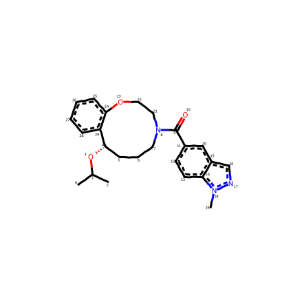 CC(C)O[C@H]1CCCN(C(=O)c2ccc3c(cnn3C)c2)CCOc2ccccc21